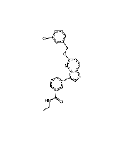 CCNC(=O)c1cccc(-c2cnc3ccc(OCc4cccc(Cl)c4)nn23)c1